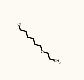 CCCOCCCCCCCl